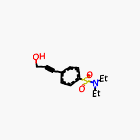 CCN(CC)S(=O)(=O)c1ccc(C#CCO)cc1